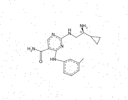 Cc1cccc(Nc2nc(NC[C@@H](N)C3CC3)ncc2C(N)=O)c1